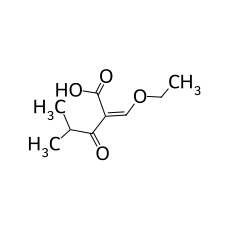 CCOC=C(C(=O)O)C(=O)C(C)C